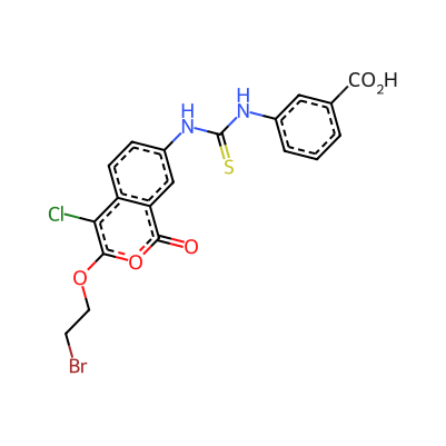 O=C(O)c1cccc(NC(=S)Nc2ccc3c(Cl)c(OCCBr)oc(=O)c3c2)c1